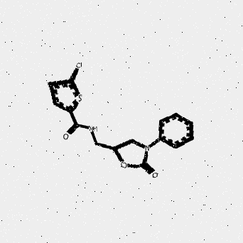 O=C(NCC1CN(c2ccccc2)C(=O)O1)c1ccc(Cl)s1